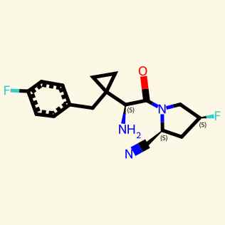 N#C[C@@H]1C[C@H](F)CN1C(=O)[C@@H](N)C1(Cc2ccc(F)cc2)CC1